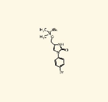 CC(C)(C)[Si](C)(C)OCC1CN(c2ccc(Br)cc2)C(=O)N1